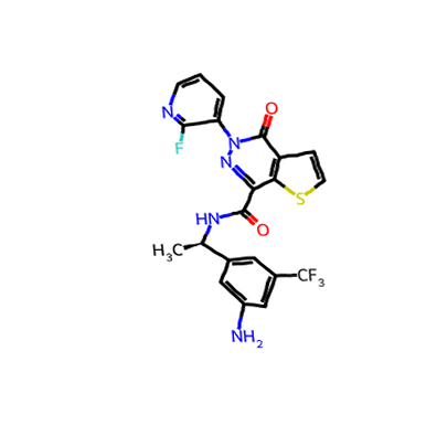 C[C@@H](NC(=O)c1nn(-c2cccnc2F)c(=O)c2ccsc12)c1cc(N)cc(C(F)(F)F)c1